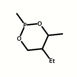 CC[C]1COP(C)OC1C